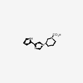 O=C(O)N1CCC[C@H](n2cnc(-c3ccc[nH]3)c2)C1